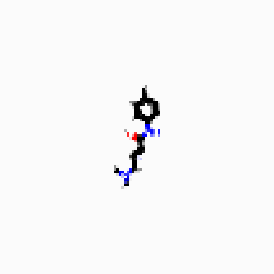 Cc1ccc(NC(=O)/C=C/CN(C)C)cc1